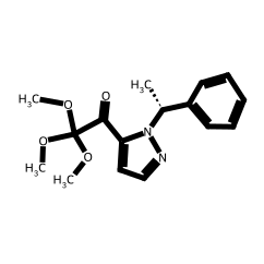 COC(OC)(OC)C(=O)c1ccnn1[C@H](C)c1ccccc1